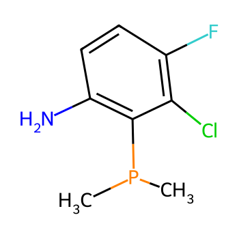 CP(C)c1c(N)ccc(F)c1Cl